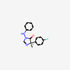 C[C@@]1(c2ccc(F)cc2)N=CN(Nc2ccccc2)C1=O